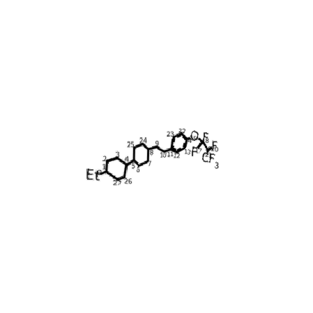 CCC1CCC(C2CCC(CCc3ccc(OC(F)(F)C(F)C(F)(F)F)cc3)CC2)CC1